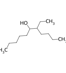 CCCCCC(O)C(CC)CCCC